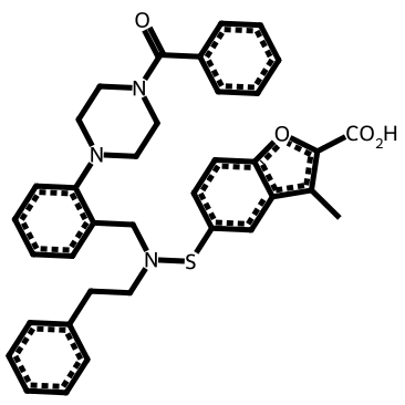 Cc1c(C(=O)O)oc2ccc(SN(CCc3ccccc3)Cc3ccccc3N3CCN(C(=O)c4ccccc4)CC3)cc12